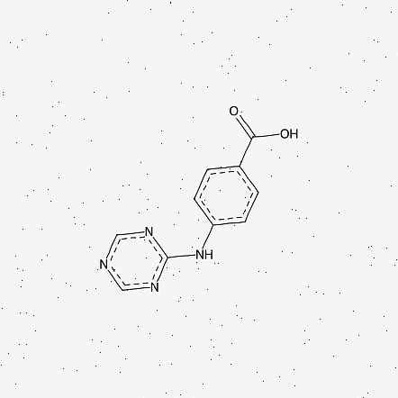 O=C(O)c1ccc(Nc2ncncn2)cc1